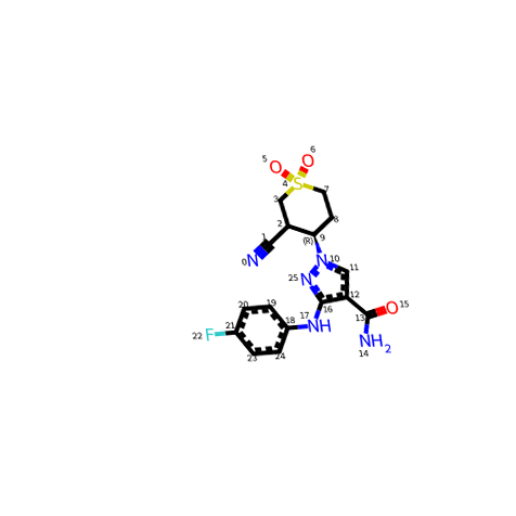 N#CC1CS(=O)(=O)CC[C@H]1n1cc(C(N)=O)c(Nc2ccc(F)cc2)n1